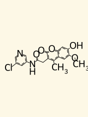 COc1cc2c(C)c(CC(=O)Nc3cncc(Cl)c3)c(=O)oc2cc1O